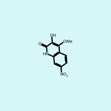 COc1c(O)c(=O)[nH]c2cc([N+](=O)[O-])ccc12